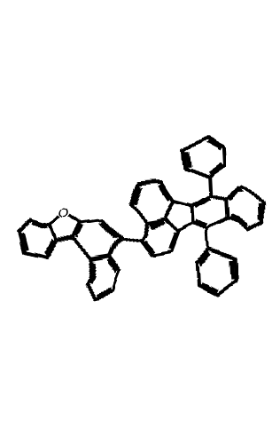 c1ccc(-c2c3c(c(-c4ccccc4)c4ccccc24)-c2ccc(-c4cc5oc6ccccc6c5c5ccccc45)c4cccc-3c24)cc1